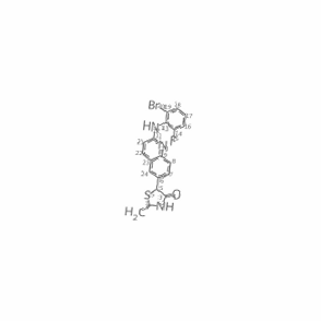 C=C1NC(=O)C(c2ccc3nc(Nc4c(F)cccc4Br)ccc3c2)S1